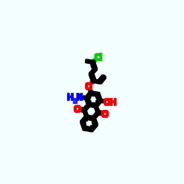 C=C/C(=C\C=C(/C)Cl)Oc1cc(O)c2c(c1N)C(=O)c1ccccc1C2=O